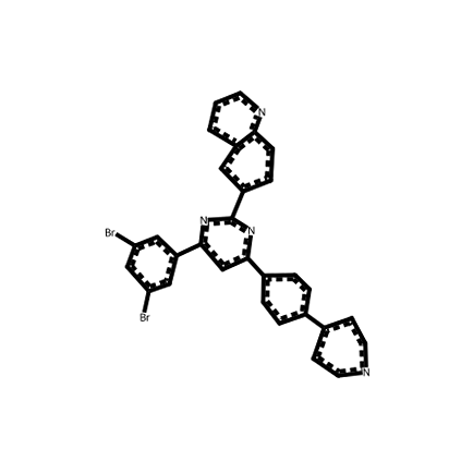 Brc1cc(Br)cc(-c2cc(-c3ccc(-c4ccncc4)cc3)nc(-c3ccc4ncccc4c3)n2)c1